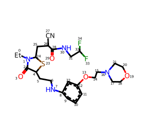 CCN1C(=O)C(CCNc2cccc(OCCN3CCOCC3)c2)SC1CC(C#N)C(=O)NCC(F)F